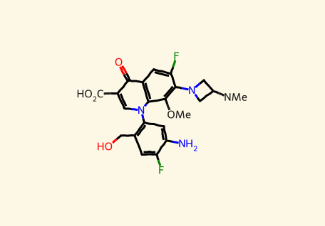 CNC1CN(c2c(F)cc3c(=O)c(C(=O)O)cn(-c4cc(N)c(F)cc4CO)c3c2OC)C1